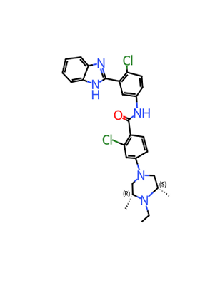 CCN1[C@H](C)CN(c2ccc(C(=O)Nc3ccc(Cl)c(-c4nc5ccccc5[nH]4)c3)c(Cl)c2)C[C@@H]1C